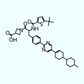 CC1CCC(C2CC=C(c3cnc(-c4ccc(CC(NC(=O)c5ccc(C(C)(C)C)s5)C(=O)N5CC(C(=O)O)C5)cc4)nc3)CC2)CC1